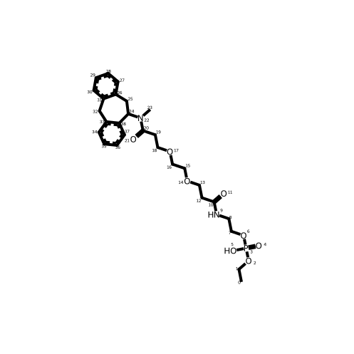 CCOP(=O)(O)OCCNC(=O)CCOCCOCCC(=O)N(C)C1Cc2ccccc2Cc2ccccc21